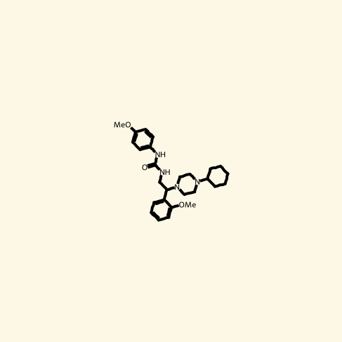 COc1ccc(NC(=O)NCC(c2ccccc2OC)N2CCN(C3CCCCC3)CC2)cc1